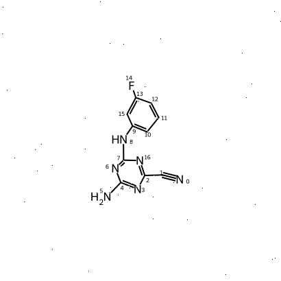 N#Cc1nc(N)nc(Nc2cccc(F)c2)n1